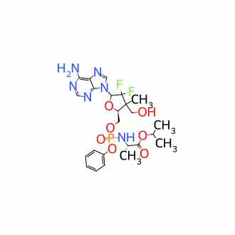 CC(C)OC(=O)[C@H](C)NP(=O)(OC[C@H]1O[C@@H](n2cnc3c(N)ncnc32)C(F)(F)C1(C)CO)Oc1ccccc1